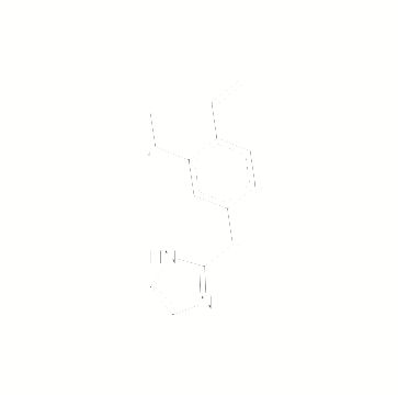 C=Cc1ccc(CC2=[N+]C=CN2)cc1CC